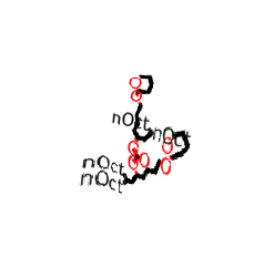 CCCCCCCCC(CCCCCCCC)CC(CCCCOC1CCCCO1)OC(=O)OC(CCCCOC1CCCCO1)CC(CCCCCCCC)CCCCCCCC